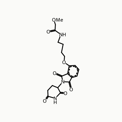 COCC(=O)NCCCCOc1cccc2c1C(=O)N(C1CCC(=O)NC1=O)C2=O